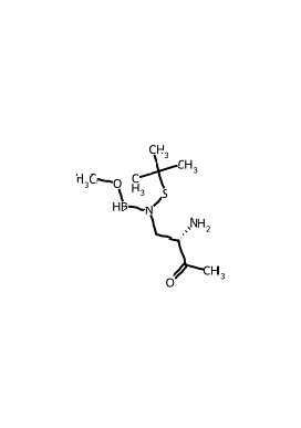 COBN(C[C@H](N)C(C)=O)SC(C)(C)C